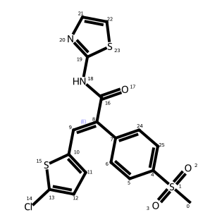 CS(=O)(=O)c1ccc(/C(=C\c2ccc(Cl)s2)C(=O)Nc2nccs2)cc1